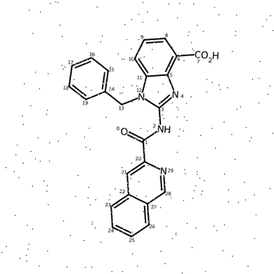 O=C(Nc1nc2c(C(=O)O)cccc2n1Cc1ccccc1)c1cc2ccccc2cn1